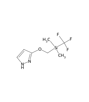 C[Si](C)(COc1cc[nH]n1)C(F)(F)F